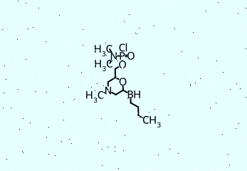 CCCCBC1CN(C)CC(COP(=O)(Cl)N(C)C)O1